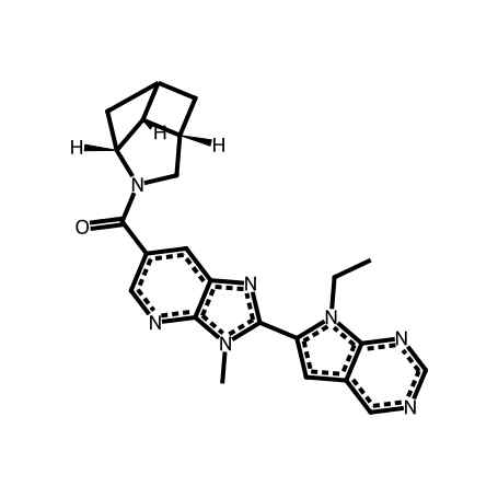 CCn1c(-c2nc3cc(C(=O)N4C[C@H]5CC6C[C@@H]4[C@H]65)cnc3n2C)cc2cncnc21